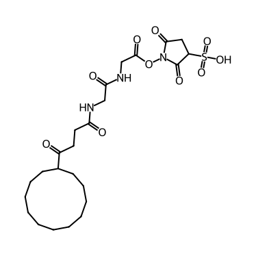 O=C(CCC(=O)C1CCCCCCCCCCC1)NCC(=O)NCC(=O)ON1C(=O)CC(S(=O)(=O)O)C1=O